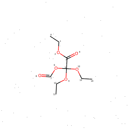 CCOC(=O)C(O[C]=O)(OCC)OCC